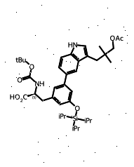 CC(=O)OCC(C)(C)Cc1c[nH]c2ccc(-c3cc(C[C@H](NC(=O)OC(C)(C)C)C(=O)O)cc(O[Si](C(C)C)(C(C)C)C(C)C)c3)cc12